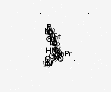 CCCn1c(=O)n(CCCN2CCCC2=O)c(=O)c2[nH]c(-c3ccc(N(CC)C(=O)c4ccc(F)nc4)nc3)nc21